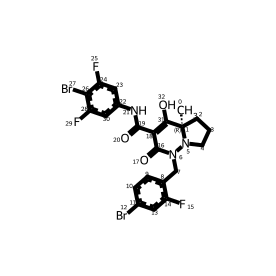 C[C@]12CCCN1N(Cc1ccc(Br)cc1F)C(=O)C(C(=O)Nc1cc(F)c(Br)c(F)c1)=C2O